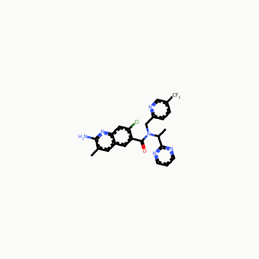 Cc1cc2cc(C(=O)N(Cc3ccc(C(F)(F)F)cn3)C(C)c3ncccn3)c(Cl)cc2nc1N